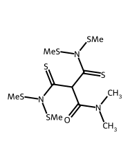 CSN(SC)C(=S)C(C(=O)N(C)C)C(=S)N(SC)SC